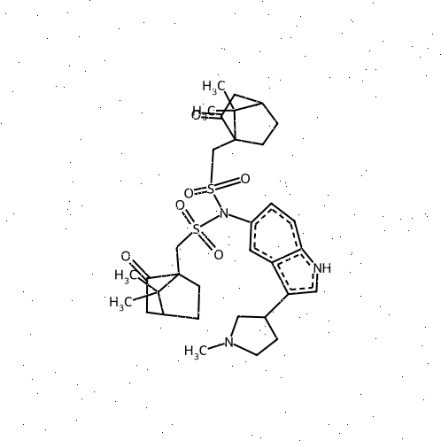 CN1CCC(c2c[nH]c3ccc(N(S(=O)(=O)CC45CCC(CC4=O)C5(C)C)S(=O)(=O)CC45CCC(CC4=O)C5(C)C)cc23)C1